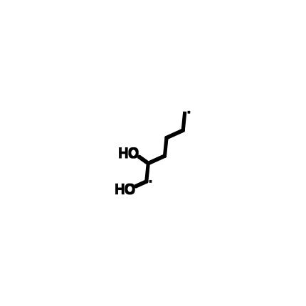 [CH2]CCCC(O)[CH]O